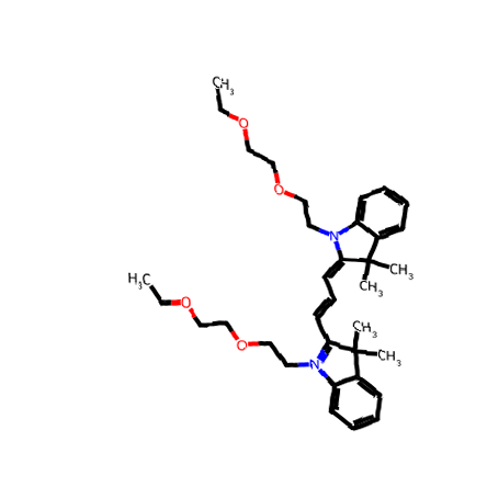 CCOCCOCCN1/C(=C/C=C/C2=[N+](CCOCCOCC)c3ccccc3C2(C)C)C(C)(C)c2ccccc21